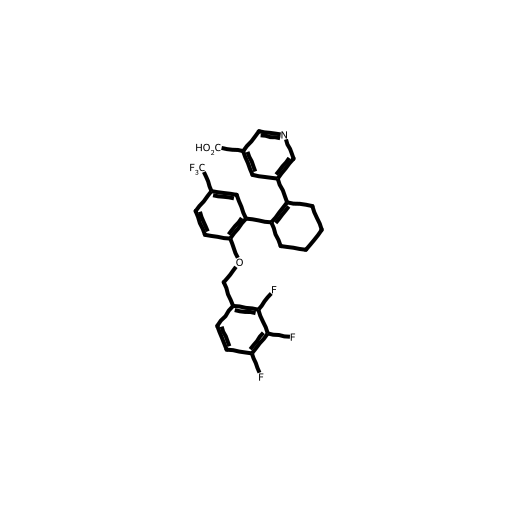 O=C(O)c1cncc(C2=C(c3cc(C(F)(F)F)ccc3OCc3ccc(F)c(F)c3F)CCCC2)c1